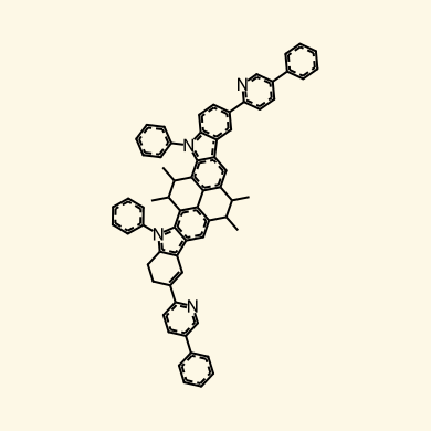 CC1c2cc3c4c(n(-c5ccccc5)c3c3c2-c2c(cc5c6cc(-c7ccc(-c8ccccc8)cn7)ccc6n(-c6ccccc6)c5c2C(C)C3C)C1C)CCC(c1ccc(-c2ccccc2)cn1)=C4